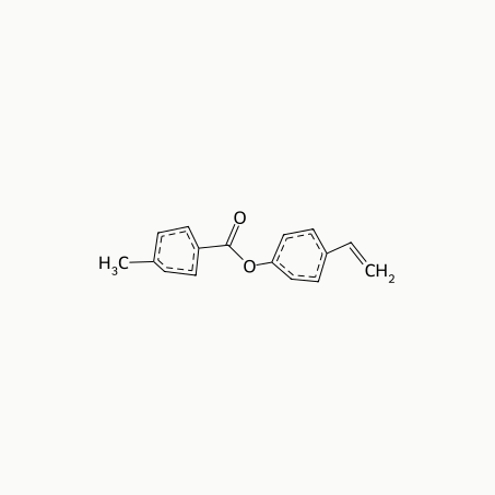 C=Cc1ccc(OC(=O)c2ccc(C)cc2)cc1